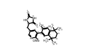 COc1ncc(CC2NC(=O)NC2=O)cc1-c1cc2c(cc1C)C(C)(C)CCC2(C)C